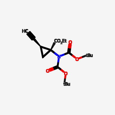 C#C[C@@H]1C[C@@]1(C(=O)OCC)N(C(=O)OC(C)(C)C)C(=O)OC(C)(C)C